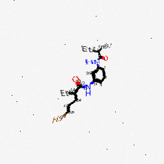 CCCCC(CC)C(=O)Nc1cccc(NC(=O)C(CC)CCCS)c1